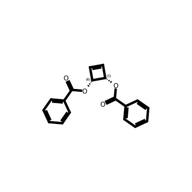 O=C(O[C@H]1C=C[C@H]1OC(=O)c1ccccc1)c1ccccc1